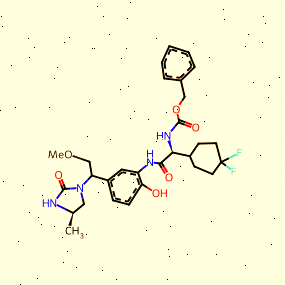 COCC(c1ccc(O)c(NC(=O)[C@@H](NC(=O)OCc2ccccc2)C2CCC(F)(F)CC2)c1)N1C[C@@H](C)NC1=O